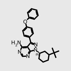 CC(C)(C)C1CCC[C@@H](n2nc(-c3ccc(Oc4ccccc4)cc3)c3c(N)ncnc32)C1